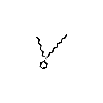 CCCCCCCCCCN(CCCCCCC)c1ccccc1